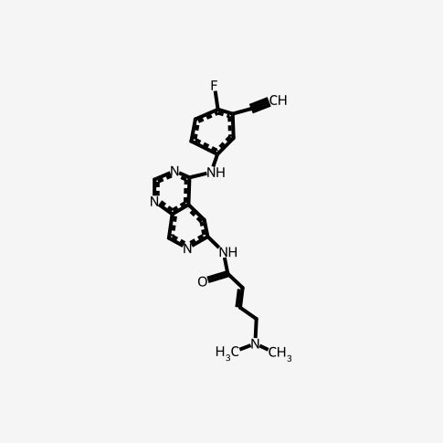 C#Cc1cc(Nc2ncnc3cnc(NC(=O)C=CCN(C)C)cc23)ccc1F